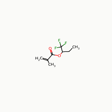 C=C(C)C(=O)OC(CC)C(F)(F)F